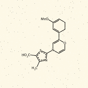 COC1=CCCC(C2=CN(c3nc(C)c(C(=O)O)s3)C=CO2)=C1